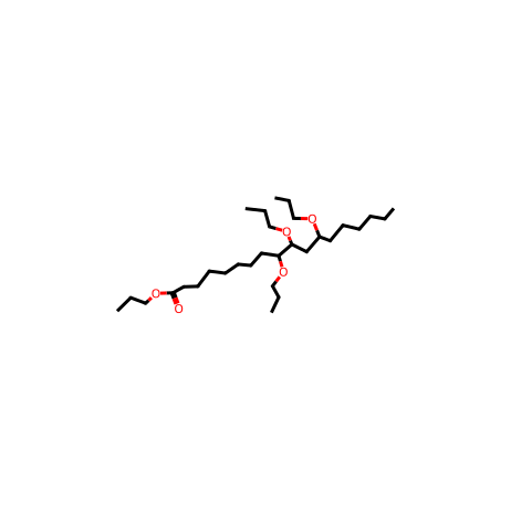 CCCCCCC(CC(OCCC)C(CCCCCCCC(=O)OCCC)OCCC)OCCC